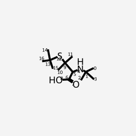 CC(C)(C)NC(C(=O)O)C(C)(C)SC(C)(C)C